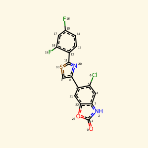 O=c1[nH]c2cc(Cl)c(-c3csc(-c4ccc(F)cc4F)n3)cc2o1